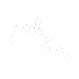 c1ccc(-c2ccc(C3Cc4ccc(-c5ccc6c(c5)c5ccccc5n6-c5ccc(-c6cccc(-c7ccccc7)c6)cc5)cc4-c4ccccc43)cc2)cc1